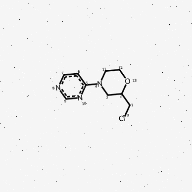 ClCC1CN(c2ccncn2)CCO1